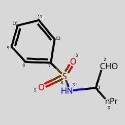 CCCC(C=O)NS(=O)(=O)c1ccccc1